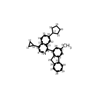 Cc1cc2c(c(-c3ncc(C4CC4)c4ccc(C5CCCC5)cc34)c1)Cc1ccccc1-2